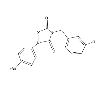 CC(C)(C)c1ccc(-n2sc(=O)n(Cc3cccc(Cl)c3)c2=O)cc1